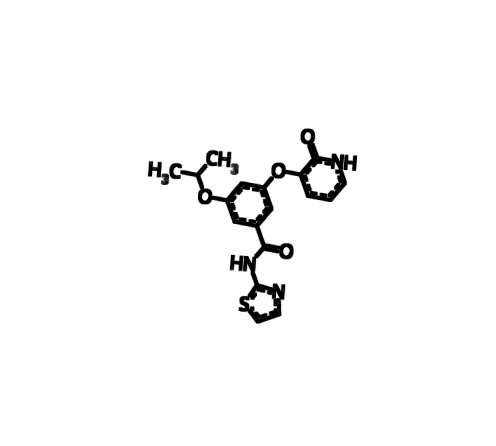 CC(C)Oc1cc(Oc2ccc[nH]c2=O)cc(C(=O)Nc2nccs2)c1